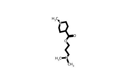 CN(C)CCCOC(=O)C1CCN(C)CC1